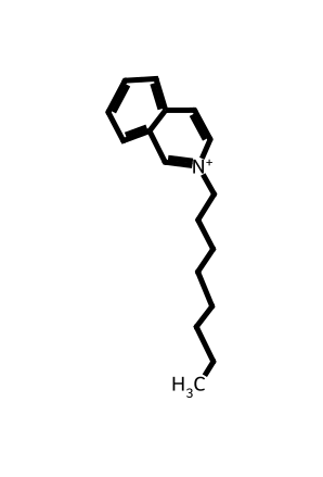 CCCCCCCC[n+]1ccc2ccccc2c1